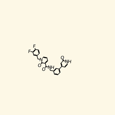 O=C(NCc1cccc(-c2cc[nH]c(=O)c2)c1)c1cccn(Cc2ccc(F)c(F)c2)c1=O